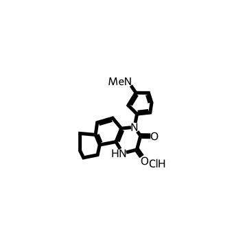 CNc1cccc(-n2c(=O)c(=O)[nH]c3c4c(ccc32)CCCC4)c1.Cl